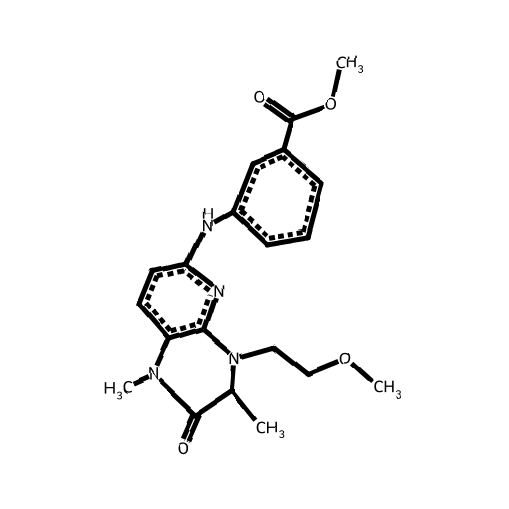 COCCN1c2nc(Nc3cccc(C(=O)OC)c3)ccc2N(C)C(=O)C1C